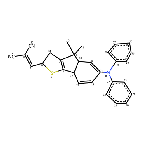 CC1(C)C2=C(SC(C=C(C#N)C#N)C2)C2C=CC(N(c3ccccc3)c3ccccc3)=CC21